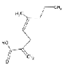 C=C(CC=C(C)CCC)C(=O)O